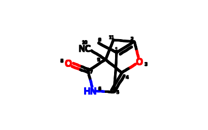 Cc1c2oc3c1NC(=O)C3(C#N)C2